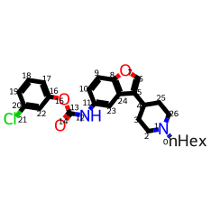 CCCCCCN1CCC(c2coc3ccc(NC(=O)Oc4cccc(Cl)c4)cc23)CC1